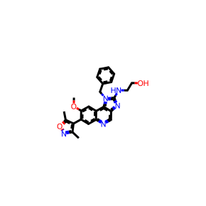 COc1cc2c(cc1-c1c(C)noc1C)ncc1nc(NCCO)n(Cc3ccccc3)c12